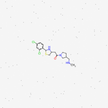 CNCC1CCN(C(=O)CC2CSC(c3ccc(Cl)cc3Cl)N2)C1